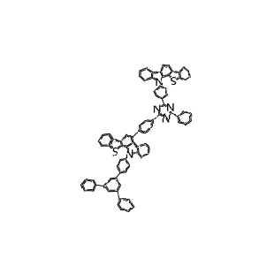 c1ccc(-c2cc(-c3ccccc3)cc(-c3ccc(-n4c5ccccc5c5c(-c6ccc(-c7nc(-c8ccccc8)nc(-c8ccc(-n9c%10ccccc%10c%10ccc%11c%12ccccc%12sc%11c%109)cc8)n7)cc6)cc6c7ccccc7sc6c54)cc3)c2)cc1